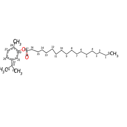 CCCCCCCCCCCCCCCCCC(=O)Oc1cc(C(C)C)ccc1C